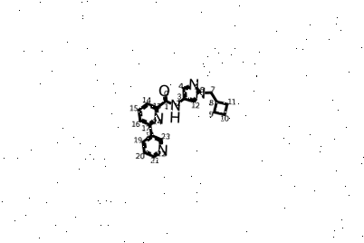 O=C(Nc1cnn(CC2CCC2)c1)c1cccc(-c2cccnc2)n1